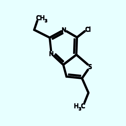 CCc1nc(Cl)c2sc(CC)cc2n1